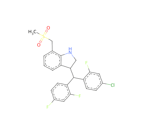 CS(=O)(=O)Cc1cccc2c1NCC2C(c1ccc(F)cc1F)c1ccc(Cl)cc1F